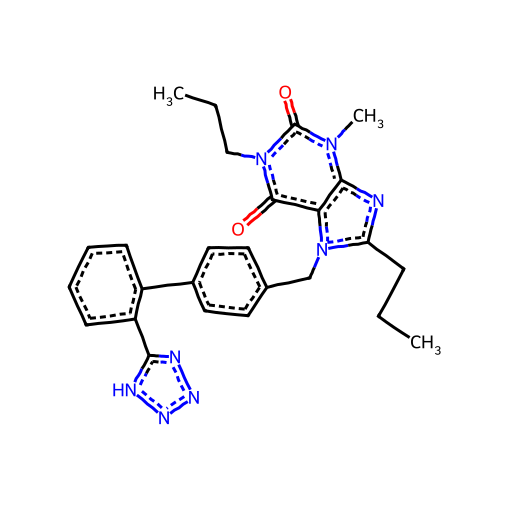 CCCc1nc2c(c(=O)n(CCC)c(=O)n2C)n1Cc1ccc(-c2ccccc2-c2nnn[nH]2)cc1